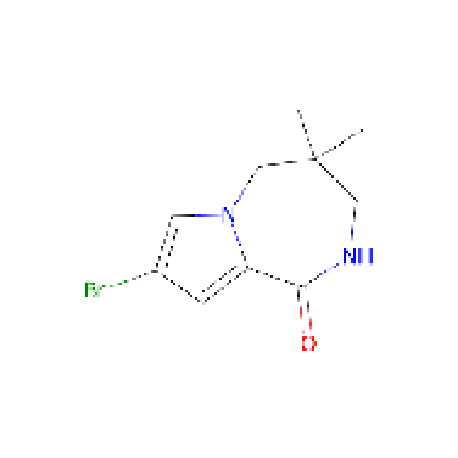 CC1(C)CNC(=O)c2cc(Br)cn2C1